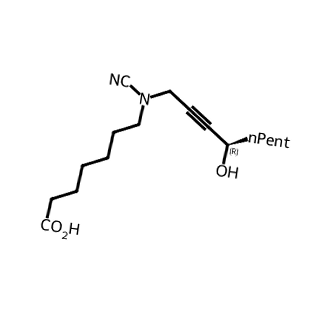 CCCCC[C@@H](O)C#CCN(C#N)CCCCCCC(=O)O